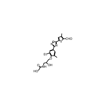 CCc1cc(-c2noc(-c3cc(C)c(C=O)s3)n2)cc(C)c1OCC(O)CNC(=O)CO